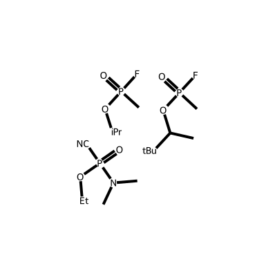 CC(C)OP(C)(=O)F.CC(OP(C)(=O)F)C(C)(C)C.CCOP(=O)(C#N)N(C)C